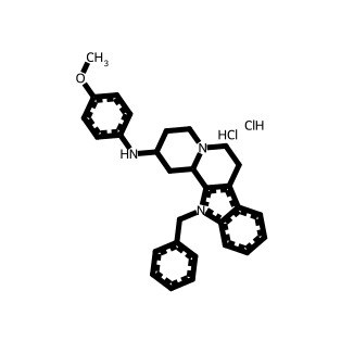 COc1ccc(NC2CCN3CCc4c(n(Cc5ccccc5)c5ccccc45)C3C2)cc1.Cl.Cl